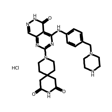 Cl.O=C1CC2(CCN(c3nc(Nc4ccc(CN5CCNCC5)cc4)c4c(=O)[nH]ncc4n3)CC2)CC(=O)N1